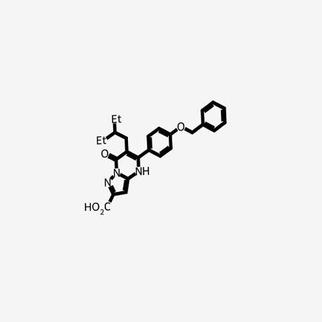 CCC(CC)Cc1c(-c2ccc(OCc3ccccc3)cc2)[nH]c2cc(C(=O)O)nn2c1=O